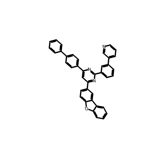 c1ccc(-c2ccc(-c3cc(-c4ccc5oc6ccccc6c5c4)nc(-c4cccc(-c5cccnc5)c4)n3)cc2)cc1